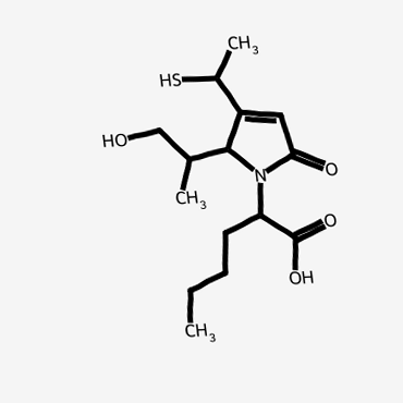 CCCCC(C(=O)O)N1C(=O)C=C(C(C)S)C1C(C)CO